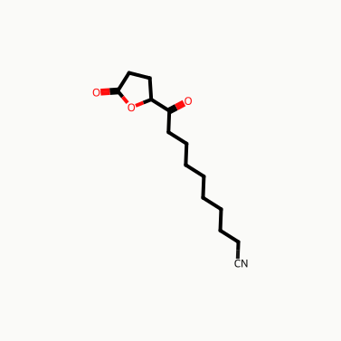 N#CCCCCCCCCC(=O)C1CCC(=O)O1